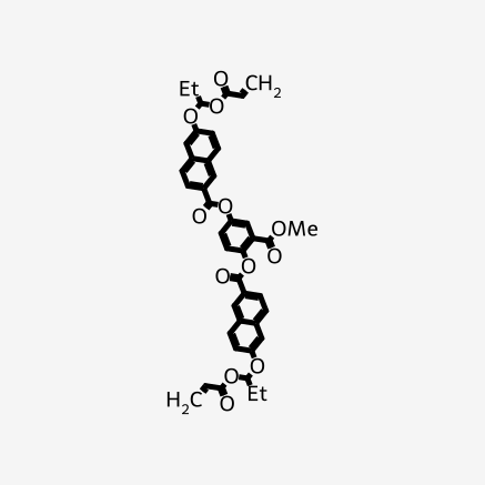 C=CC(=O)OC(CC)Oc1ccc2cc(C(=O)Oc3ccc(OC(=O)c4ccc5cc(OC(CC)OC(=O)C=C)ccc5c4)c(C(=O)OC)c3)ccc2c1